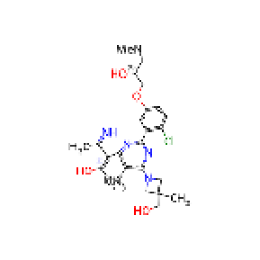 CNC[C@@H](O)COc1ccc(Cl)c(-c2nc(/C(C(C)=N)=C(\C)O)c(C)c(N3CC(C)(CO)C3)n2)c1